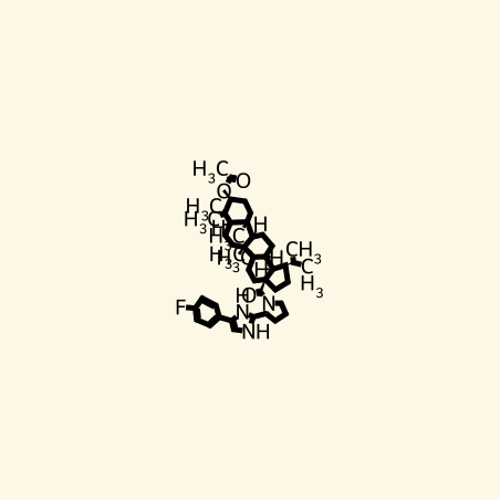 CC(=O)O[C@H]1CC[C@]2(C)[C@H]3CC[C@@H]4[C@H]5[C@H](C(C)C)CC[C@]5(C(=O)N5CCCC5C5NC=C(c6ccc(F)cc6)N5)CC[C@@]4(C)[C@]3(C)CC[C@H]2C1(C)C